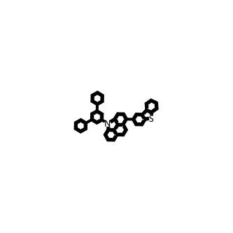 c1ccc(-c2cc(-c3ccccc3)cc(-n3c4cccc5ccc6c(-c7ccc8sc9ccccc9c8c7)ccc3c6c54)c2)cc1